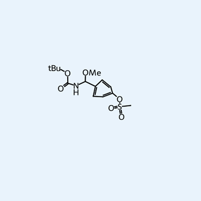 COC(NC(=O)OC(C)(C)C)c1ccc(OS(C)(=O)=O)cc1